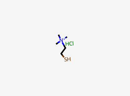 C[N+](C)(C)CCS.Cl